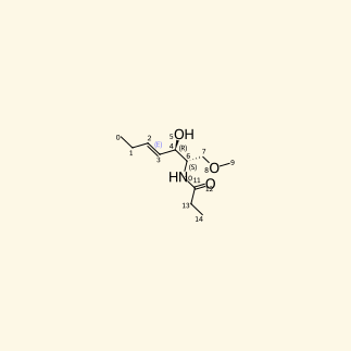 CC/C=C/[C@@H](O)[C@H](COC)NC(=O)CC